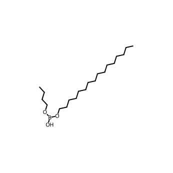 CCCCCCCCCCCCCCCCOB(O)OCCCC